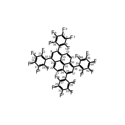 Fc1c(F)c(F)c(-c2cc(-c3c(F)c(F)c(F)c(F)c3F)c3ccc4c(-c5c(F)c(F)c(F)c(F)c5F)cc(-c5c(F)c(F)c(F)c(F)c5F)c5ccc2c3c54)c(F)c1F